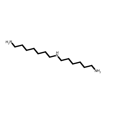 NCCCCCCCNCCCCCCN